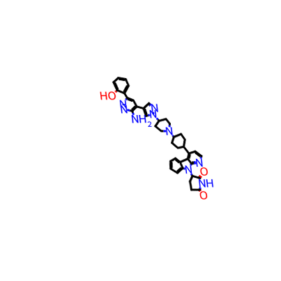 Nc1nnc(-c2ccccc2O)cc1-c1cnn(C2CCN(C3CCC(c4ccnc5c4c4ccccc4n5C4CCC(=O)NC4=O)CC3)CC2)c1